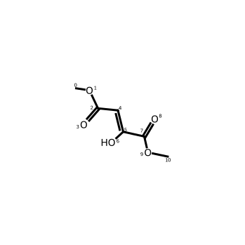 COC(=O)C=C(O)C(=O)OC